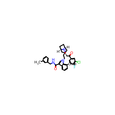 COc1cccc2c(C(=O)NCc3cccc(C)c3)cn(CCCN3[C@@H]4CC[C@H]3C[C@@H](CC(=O)c3ccc(F)c(Cl)c3)C4)c12